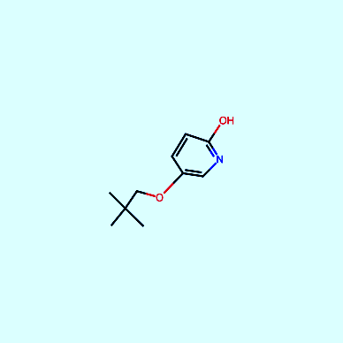 CC(C)(C)COc1ccc(O)nc1